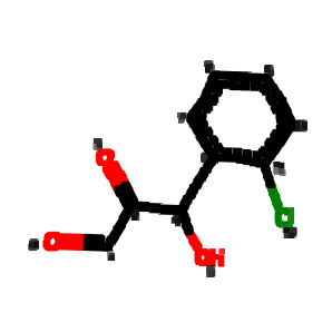 O=CC(=O)C(O)c1ccccc1Cl